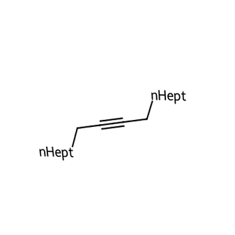 C[CH]CCCCCCC#CCCCCCCCC